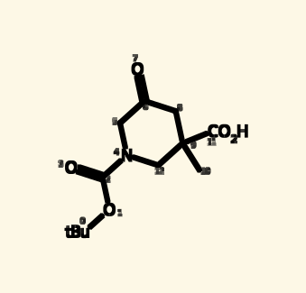 CC(C)(C)OC(=O)N1CC(=O)CC(C)(C(=O)O)C1